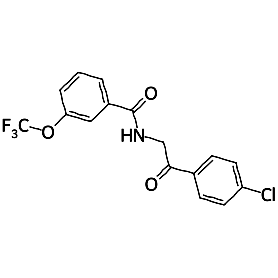 O=C(CNC(=O)c1cccc(OC(F)(F)F)c1)c1ccc(Cl)cc1